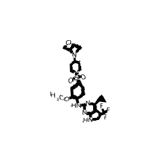 COc1cc(S(=O)(=O)N2CCC(N3CC4OCC43)CC2)ccc1Nc1nc(C2CC2)c2c(C(F)(F)F)c[nH]c2n1